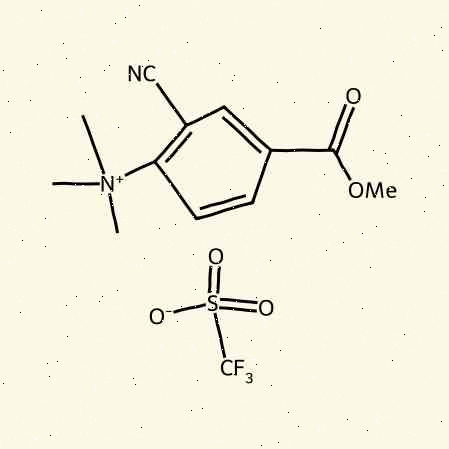 COC(=O)c1ccc([N+](C)(C)C)c(C#N)c1.O=S(=O)([O-])C(F)(F)F